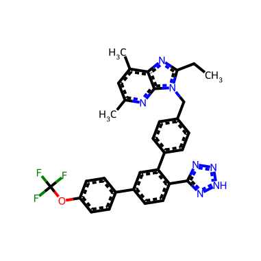 CCc1nc2c(C)cc(C)nc2n1Cc1ccc(-c2cc(-c3ccc(OC(F)(F)F)cc3)ccc2-c2nn[nH]n2)cc1